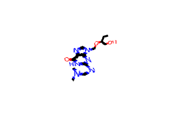 CCC(CO)OCn1cnc2c(=O)[nH]c(/N=C\N(C)C)nc21